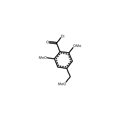 CCC(=O)c1c(OC)cc(COC)cc1OC